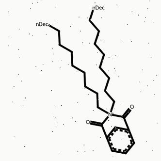 CCCCCCCCCCCCCCCCCC[N+]1(CCCCCCCCCCCCCCCCCC)C(=O)c2cccc(c2)C1=O